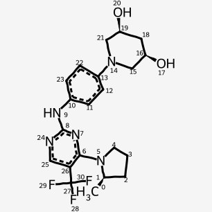 C[C@@H]1CCCN1c1nc(Nc2ccc(N3C[C@H](O)C[C@H](O)C3)cc2)ncc1C(F)(F)F